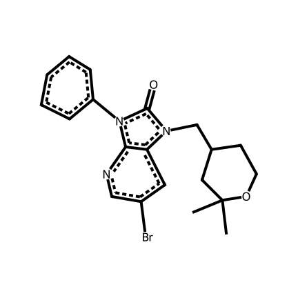 CC1(C)CC(Cn2c(=O)n(-c3ccccc3)c3ncc(Br)cc32)CCO1